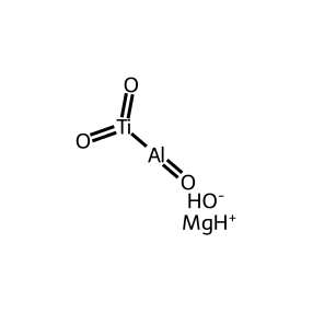 [MgH+].[OH-].[O]=[Al][Ti](=[O])=[O]